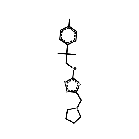 CC(C)(CNc1nc(CN2CCCC2)ns1)c1ccc(F)cc1